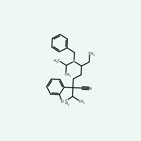 CCC(CCC(C#N)(c1ccccc1Cl)C(C)C)N(Cc1ccccc1)C(C)C